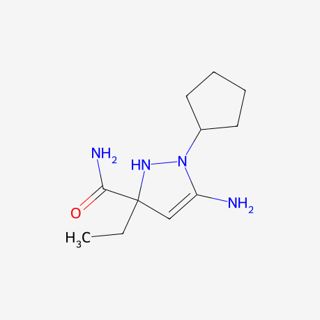 CCC1(C(N)=O)C=C(N)N(C2CCCC2)N1